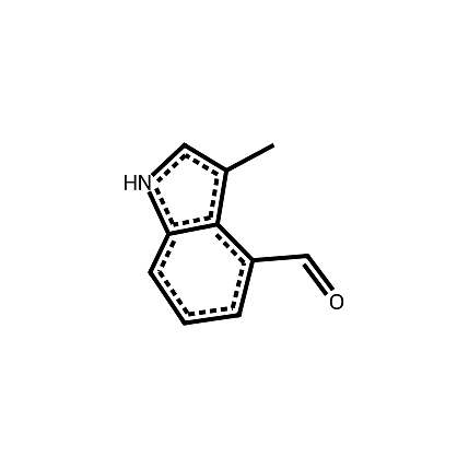 Cc1c[nH]c2cccc(C=O)c12